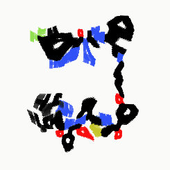 CN[C@@H](C)C(=O)N[C@H](C(=O)N1CCC[C@H]1c1nc(C(=O)c2cccc(OCCCCCN3CC([C@@H](c4ccccc4)n4cc(NC(=O)c5n[nH]c6c5C[C@@H]5C(F)(F)[C@]5(C)C6)cn4)C3)c2)cs1)C1CCCCC1